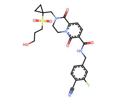 N#Cc1ccc(CNC(=O)c2ccc3n(c2=O)CCN(CC2(S(=O)(=O)CCCO)CC2)C3=O)cc1F